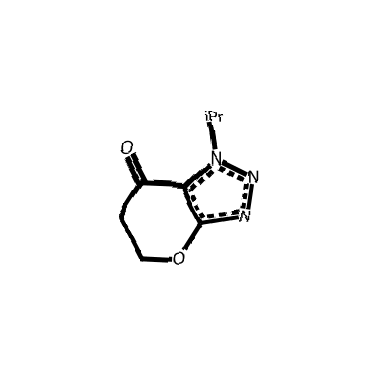 CC(C)n1nnc2c1C(=O)CCO2